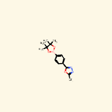 CC1(C)OB(c2ccc(-c3nnc(C(F)(F)F)o3)cc2)OC1(C)C